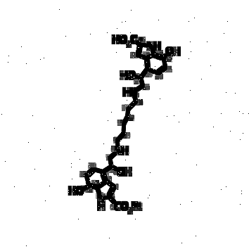 CCOC(=O)c1cc2c(C(O)CNCCCCCCNCC(O)c3ccc(O)c4[nH]c(C(=O)O)cc34)ccc(O)c2[nH]1